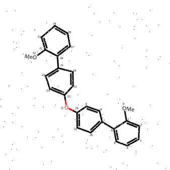 COc1ccccc1-c1ccc(Oc2ccc(-c3ccccc3OC)cc2)cc1